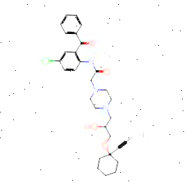 CC#CC1(OCC(O)CN2CCN(CC(=O)N(C)c3ccc(Cl)cc3C(=O)c3ccccc3)CC2)CCCCC1